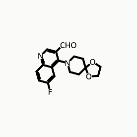 O=Cc1cnc2ccc(F)cc2c1N1CCC2(CC1)OCCO2